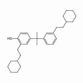 CC(C)(c1cccc(CCC2CCCCC2)c1)c1ccc(O)c(CCC2CCCCC2)c1